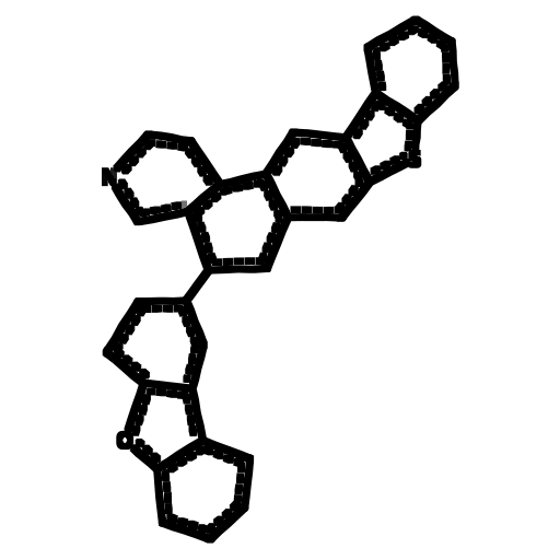 c1ccc2c(c1)oc1ccc(-c3cc4cc5sc6ccccc6c5cc4c4ccncc34)cc12